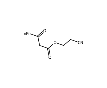 CCCC(=O)CC(=O)OCCC#N